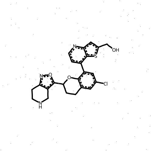 OCc1cc2nccc(-c3cc(Cl)cc4c3OC(c3onc5c3CNCC5)CC4)c2s1